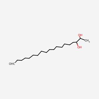 CC(O)C(O)CCCCCCCCCCCCCCCC=O